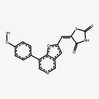 CC(C)Oc1ccc(-c2cncc3cc(C=C4SC(=S)NC4=O)oc23)cc1